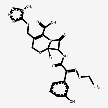 CCON=C(C(=O)NC1C(=O)N2C(C(=O)O)=C(CSc3nnnn3C)CS[C@@H]12)c1cccc(O)c1